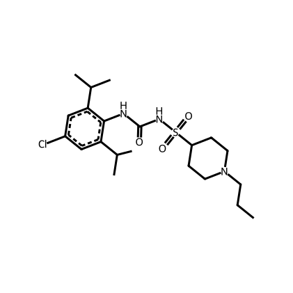 CCCN1CCC(S(=O)(=O)NC(=O)Nc2c(C(C)C)cc(Cl)cc2C(C)C)CC1